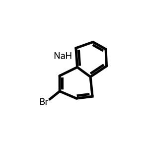 Brc1ccc2ccccc2c1.[NaH]